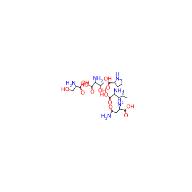 CC(C)CC(N)C(=O)O.CC(O)C(N)C(=O)O.NC(=O)CC(N)C(=O)O.NC(CO)C(=O)O.O=C(O)[C@@H]1CCCN1